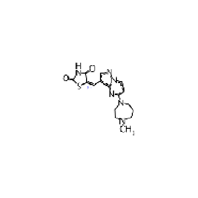 CN1CCCN(c2ccn3ncc(/C=C4/SC(=O)NC4=O)c3n2)CC1